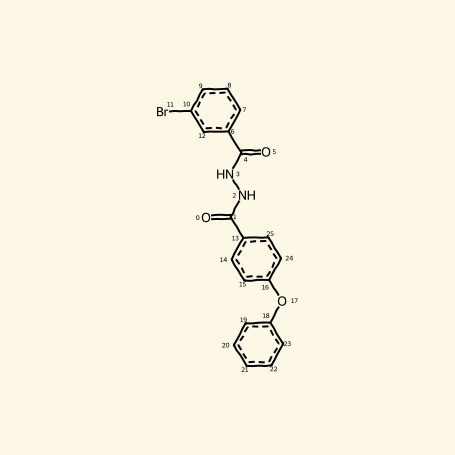 O=C(NNC(=O)c1cccc(Br)c1)c1ccc(Oc2ccccc2)cc1